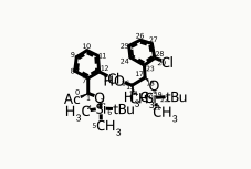 CC(=O)[C@H](O[Si](C)(C)C(C)(C)C)c1ccccc1Cl.C[C@@H](O)[C@@H](O[Si](C)(C)C(C)(C)C)c1ccccc1Cl